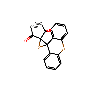 COC(=O)C1(C(=O)OC)SC12c1ccccc1Sc1ccccc12